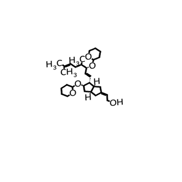 CC(C)=CCC(C)[C@@H](/C=C/[C@@H]1[C@H]2CC(=CCO)C[C@H]2C[C@H]1OC1CCCCO1)OC1CCCCO1